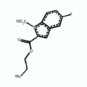 CC(C)(C)CCOC(=O)c1cc2cc(F)ccc2n1C(=O)O